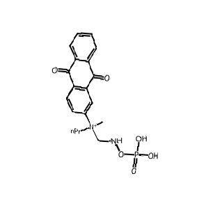 CCC[N+](C)(CNOP(=O)(O)O)c1ccc2c(c1)C(=O)c1ccccc1C2=O